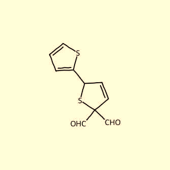 O=CC1(C=O)C=CC(c2cccs2)S1